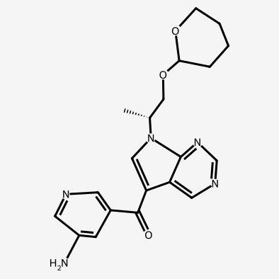 C[C@H](COC1CCCCO1)n1cc(C(=O)c2cncc(N)c2)c2cncnc21